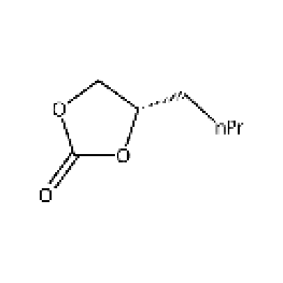 CCCC[C@H]1COC(=O)O1